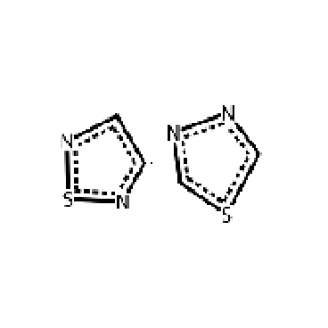 [c]1cnsn1.[c]1nncs1